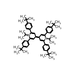 CC(C)N1C(c2ccc(C(C)(C)C)cc2)=CC(=C2C=C(c3ccc(C(C)(C)C)cc3)N(C(C)C)C(c3ccc(C(C)(C)C)cc3)=C2)C=C1c1ccc(C(C)(C)C)cc1